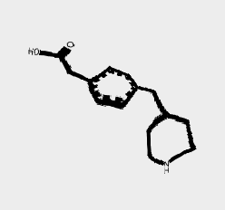 O=C(O)Cc1ccc(CC2CCNCC2)cc1